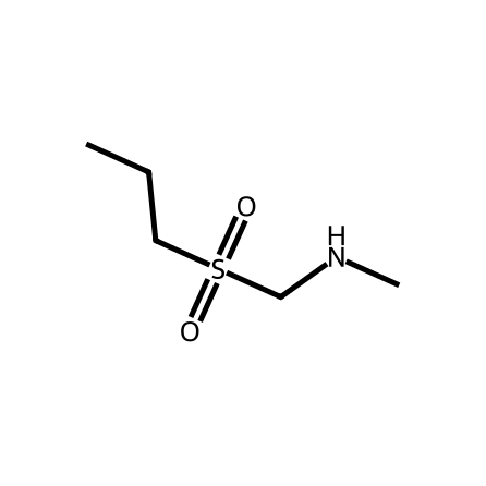 CCCS(=O)(=O)CNC